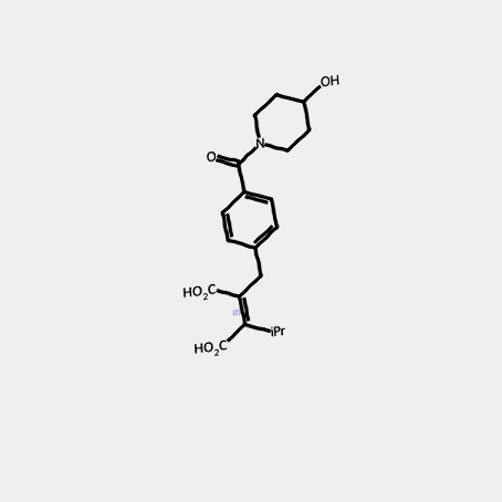 CC(C)/C(C(=O)O)=C(\Cc1ccc(C(=O)N2CCC(O)CC2)cc1)C(=O)O